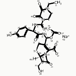 CCN1CCN(C(=O)NC(C(=O)NC(OC(C)=O)C2=C(C(=O)[O-])N3C(=O)[C@@H](CO)[C@H]3SC2)c2ccc(O)cc2)C(=O)C1=O.[Na+]